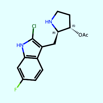 CC(=O)O[C@H]1CCN[C@@H]1Cc1c(Cl)[nH]c2cc(F)ccc12